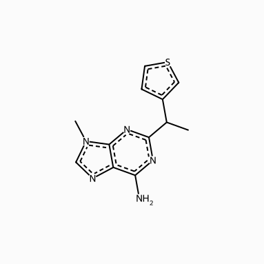 CC(c1ccsc1)c1nc(N)c2ncn(C)c2n1